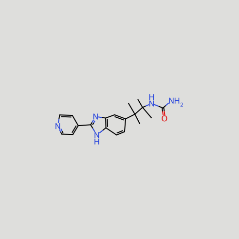 CC(C)(NC(N)=O)C(C)(C)c1ccc2[nH]c(-c3ccncc3)nc2c1